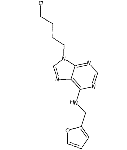 ClCCCCn1cnc2c(NCc3ccco3)ncnc21